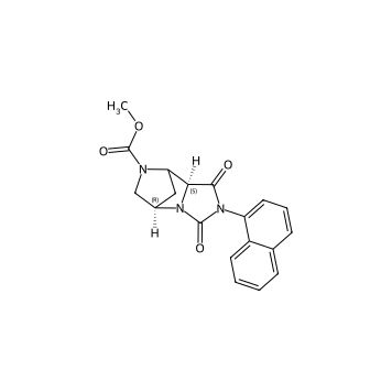 COC(=O)N1C[C@H]2CC1[C@H]1C(=O)N(c3cccc4ccccc34)C(=O)N21